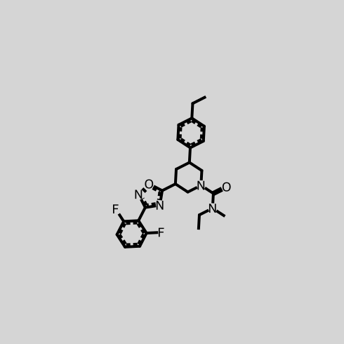 CCc1ccc(C2CC(c3nc(-c4c(F)cccc4F)no3)CN(C(=O)N(C)CC)C2)cc1